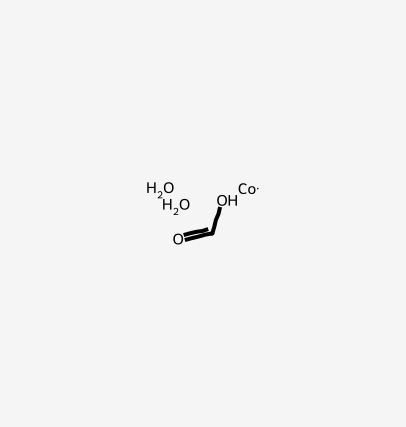 O.O.O=CO.[Co]